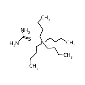 CCCC[N+](CCCC)(CCCC)CCCC.NC(N)=S